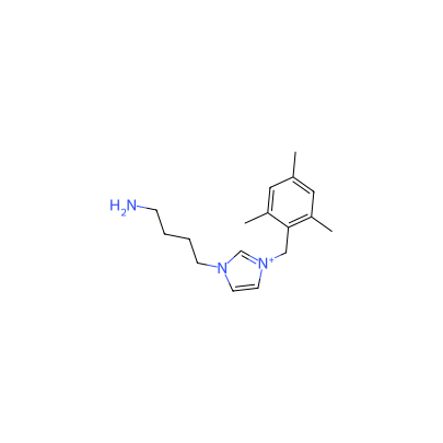 Cc1cc(C)c(C[n+]2ccn(CCCCN)c2)c(C)c1